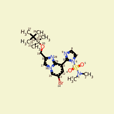 CN(C)S(=O)(=O)n1ccnc1-c1cc(Br)cn2cc(CO[Si](C)(C)C(C)(C)C)nc12